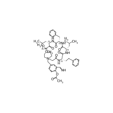 CC(=O)Oc1ccc(C[N+]2(CC(=O)N[C@@H](CCc3ccccc3)C(=O)N[C@@H](CC(C)C)C(=O)N[C@@H](Cc3ccccc3)C(=O)N[C@@H](CC(C)C)C(=O)[C@@]3(C)CO3)CCOCC2)cc1C=N